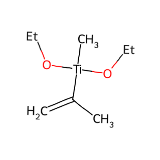 C=[C](C)[Ti]([CH3])([O]CC)[O]CC